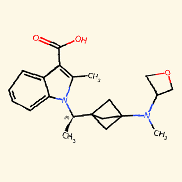 Cc1c(C(=O)O)c2ccccc2n1[C@H](C)C12CC(N(C)C3COC3)(C1)C2